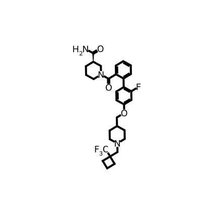 NC(=O)[C@@H]1CCCN(C(=O)c2ccccc2-c2ccc(OCC3CCN(CC4(C(F)(F)F)CCC4)CC3)cc2F)C1